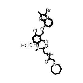 Cc1nc2c(OCc3c(Cl)ccc(N(C)C(=O)CNC(=O)CN4CCCCCC4)c3Cl)cccn2c1Br.Cl.Cl